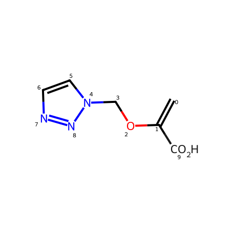 C=C(OCn1ccnn1)C(=O)O